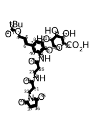 CC(C)(C)C(=O)OC/C=C/c1ccc(O[C@@H]2O[C@H](C(=O)O)[C@H](O)[C@H](O)[C@@H]2O)c(NC(=O)CCNC(=O)CCN2C(=O)C=CC2=O)c1